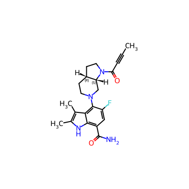 CC#CC(=O)N1CC[C@H]2CCN(c3c(F)cc(C(N)=O)c4[nH]c(C)c(C)c34)C[C@H]21